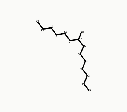 [CH2]CCCCCCC(C)CCCCCC